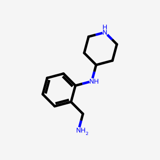 NCc1ccccc1NC1CCNCC1